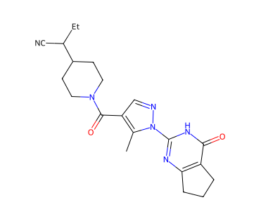 CCC(C#N)C1CCN(C(=O)c2cnn(-c3nc4c(c(=O)[nH]3)CCC4)c2C)CC1